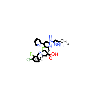 Cc1cc(Nc2cc(-c3ccccn3)c(F)c(C[C@@]3(C(=O)O)CCN(Cc4cccc(Cl)c4F)[C@H](C)C3)n2)n[nH]1